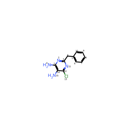 Nc1nc(Cc2ccccc2)nc(Cl)c1N